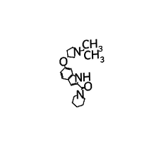 CC(C)N1CCC(Oc2ccc3cc(C(=O)N4CCCCC4)[nH]c3c2)C1